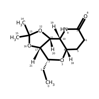 CC[C@H]1O[C@H]2CCC(=O)N[C@H]2[C@H]2OC(C)(C)O[C@H]21